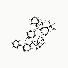 CC1(C)CCC(C)(C)c2c(N(c3ccccc3)c3ccc4c(c3)C3(c5cccc(-c6ccccc6)c5O4)C4CC5CC6CC3C64C5)cccc21